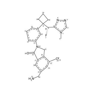 Cn1cnnc1[C@H](F)C1(c2cccc(N3Cc4c(cc(CN)cc4C(F)(F)F)C3=O)c2)CCC1